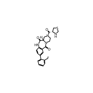 O=C1Nc2ccc(-c3ccccc3F)cc2C(=O)N2CCN(C(=O)[C@@H]3CSCN3)C[C@@H]12